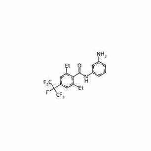 CCc1cc(C(F)(C(F)(F)F)C(F)(F)F)cc(CC)c1C(=O)Nc1cccc(N)c1